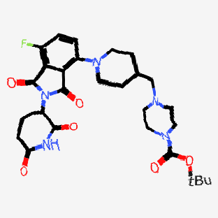 CC(C)(C)OC(=O)N1CCN(CC2CCN(c3ccc(F)c4c3C(=O)N(C3CCC(=O)NC3=O)C4=O)CC2)CC1